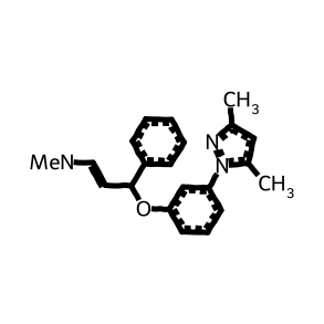 CNC=CC(Oc1cccc(-n2nc(C)cc2C)c1)c1ccccc1